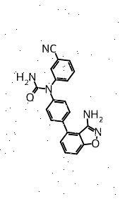 N#Cc1cccc(N(C(N)=O)c2ccc(-c3cccc4onc(N)c34)cc2)c1